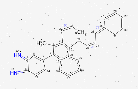 C/C=C\c1c(C)c(C2=CC(=N)C(=N)C=C2)c2ccccc2c1C/C=C\C=C1\C=CC=CC1